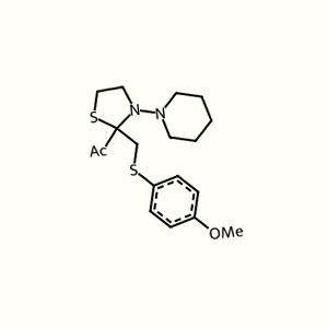 COc1ccc(SCC2(C(C)=O)SCCN2N2CCCCC2)cc1